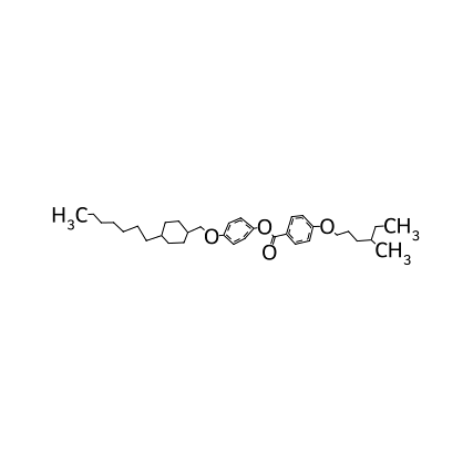 CCCCCCCC1CCC(COc2ccc(OC(=O)c3ccc(OCCCC(C)CC)cc3)cc2)CC1